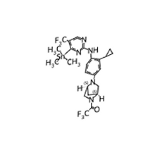 [CH3][Sn]([CH3])([CH3])[c]1nc(Nc2ccc(N3C[C@@H]4C[C@H]3CN4C(=O)C(F)(F)F)cc2C2CC2)ncc1C(F)(F)F